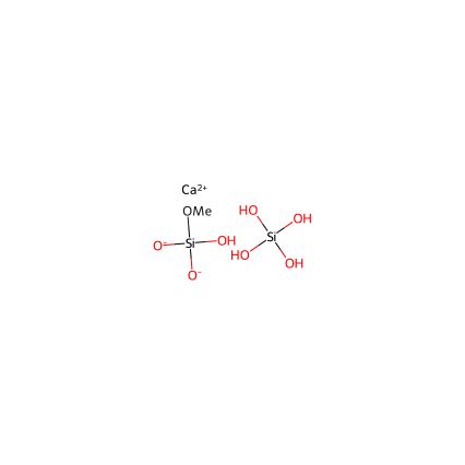 CO[Si]([O-])([O-])O.O[Si](O)(O)O.[Ca+2]